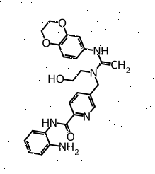 C=C(Nc1ccc2c(c1)OCCO2)N(CCO)Cc1ccc(C(=O)Nc2ccccc2N)nc1